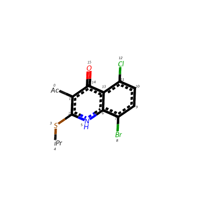 CC(=O)c1c(SC(C)C)[nH]c2c(Br)ccc(Cl)c2c1=O